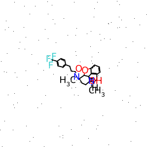 CN(C(=O)CCc1ccc(C(F)(F)F)cc1)C1CC[C@@]2(O)[C@H]3Cc4cccc5c4[C@@]2(CCN3C)C1O5